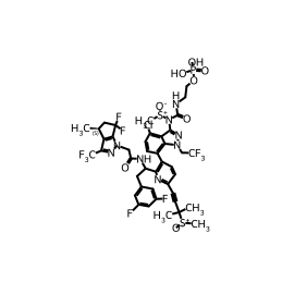 C[C@H]1CC(F)(F)c2c1c(C(F)(F)F)nn2CC(=O)NC(Cc1cc(F)cc(F)c1)c1nc(C#CC(C)(C)[S+](C)[O-])ccc1-c1ccc(Cl)c2c(N(C(=O)NCCOP(=O)(O)O)[S+](C)[O-])nn(CC(F)(F)F)c12